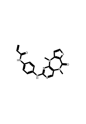 C=CC(=O)Nc1ccc(Nc2ncc3c(n2)N(C)c2ccsc2C(=O)N3C)cc1